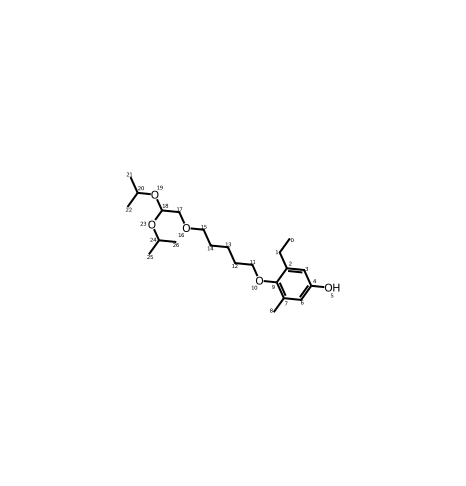 CCc1cc(O)cc(C)c1OCCCCCOCC(OC(C)C)OC(C)C